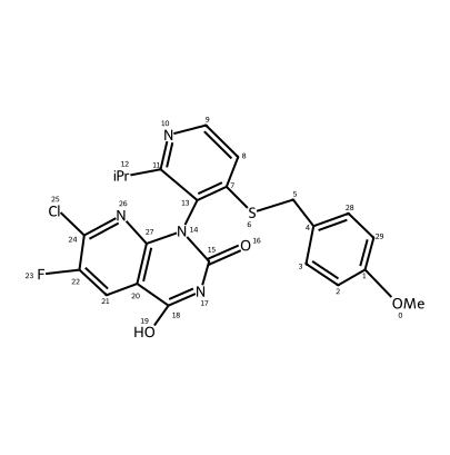 COc1ccc(CSc2ccnc(C(C)C)c2-n2c(=O)nc(O)c3cc(F)c(Cl)nc32)cc1